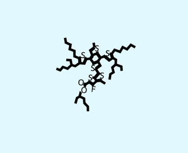 CCCCCCc1sc(-c2c3cc(-c4sc(C)c5c(F)c(C(=O)OCC(CC)CCCC)sc45)sc3c(-c3cc(CC(CC)CCCC)c(CCCCCC)s3)c3cc(C)sc23)cc1CC(CC)CCCC